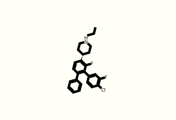 CCC[Si@H]1CC[C@H](c2ccc(-c3ccccc3)c(-c3ccc(Cl)c(F)c3)c2F)CC1